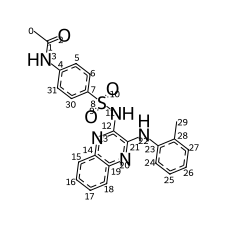 CC(=O)Nc1ccc(S(=O)(=O)Nc2nc3ccccc3nc2Nc2ccccc2C)cc1